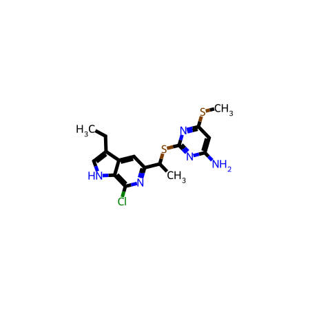 CCc1c[nH]c2c(Cl)nc(C(C)Sc3nc(N)cc(SC)n3)cc12